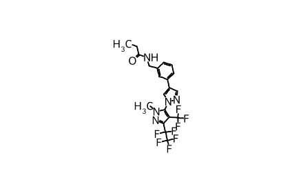 CCC(=O)NCc1cccc(-c2cnn(-c3c(C(F)(F)F)c(C(F)(F)C(F)(F)F)nn3C)c2)c1